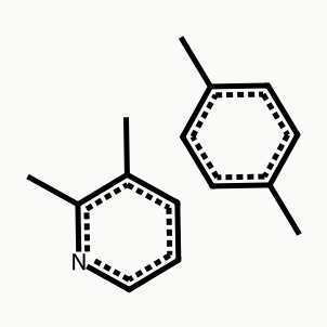 Cc1ccc(C)cc1.Cc1cccnc1C